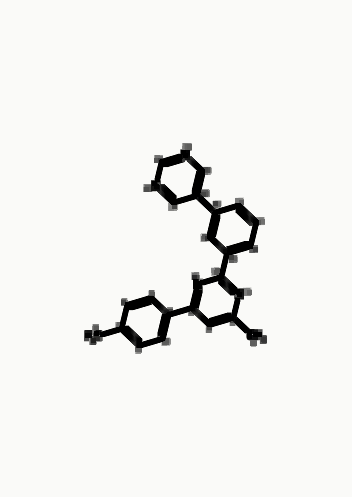 Cc1cc(-c2ccc(C(F)(F)F)cc2)nc(-c2cccc(-c3cncnc3)c2)n1